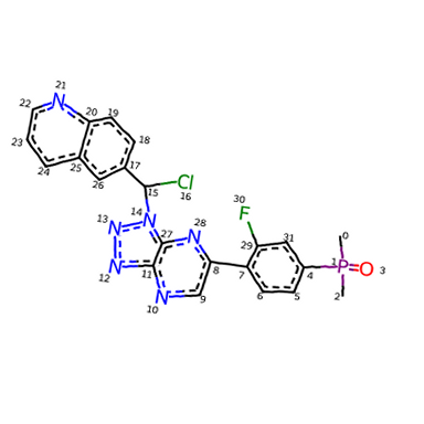 CP(C)(=O)c1ccc(-c2cnc3nnn(C(Cl)c4ccc5ncccc5c4)c3n2)c(F)c1